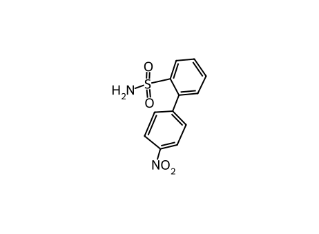 NS(=O)(=O)c1ccccc1-c1ccc([N+](=O)[O-])cc1